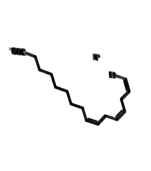 CC/C=C\C/C=C\C/C=C\CCCCCCCC(=O)[O-].[K+]